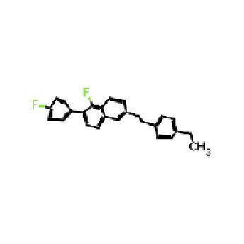 CCc1ccc(CCc2ccc3c(F)c(-c4ccc(F)cc4)ccc3c2)cc1